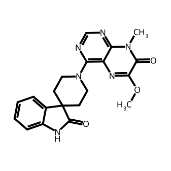 COc1nc2c(N3CCC4(CC3)C(=O)Nc3ccccc34)ncnc2n(C)c1=O